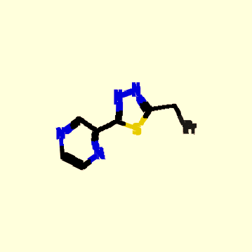 CC(C)Cc1nnc(-c2cnccn2)s1